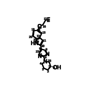 O[C@@H]1CCCN(c2ncc(-c3cc4cc(OCCF)ccc4[nH]3)cn2)C1